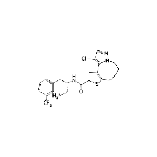 NC[C@H](Cc1cccc(C(F)(F)F)c1)NC(=O)c1cc2c(s1)CCCCn1ncc(Cl)c1-2